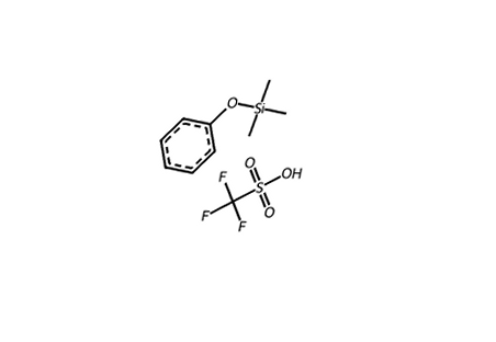 C[Si](C)(C)Oc1ccccc1.O=S(=O)(O)C(F)(F)F